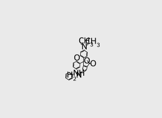 CCN(CC)c1ccc2c(c1)Oc1ccc(Nc3ccccc3)cc1C21OC(=O)c2ccc(N)cc21